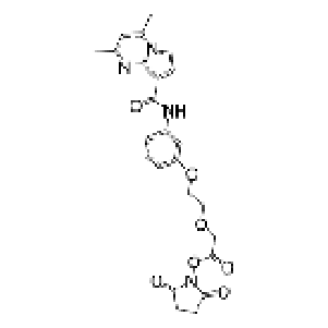 Cc1cc(C)n2ccc(C(=O)Nc3cccc(OCCOCC(=O)ON4C(=O)CCC4=O)c3)c2n1